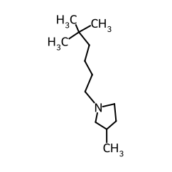 CC1CCN(CCCCC(C)(C)C)C1